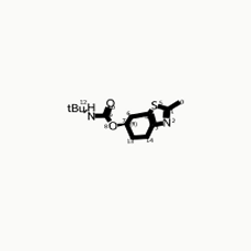 Cc1nc2c(s1)C[C@H](OC(=O)NC(C)(C)C)CC2